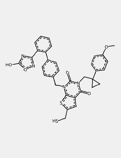 COc1ccc(C2(Cn3c(=O)c4cc(CS)sc4n(Cc4ccc(-c5ccccc5-c5noc(O)n5)cc4)c3=O)CC2)cc1